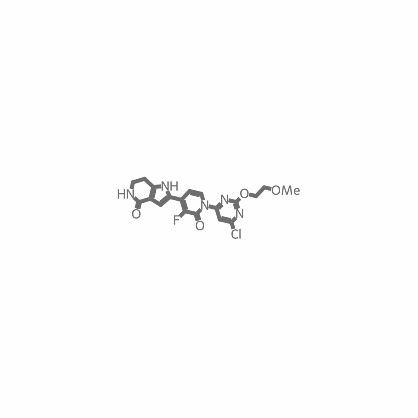 COCCOc1nc(Cl)cc(-n2ccc(-c3cc4c([nH]3)CCNC4=O)c(F)c2=O)n1